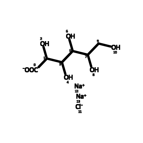 O=C([O-])C(O)C(O)C(O)C(O)CO.[Cl-].[Na+].[Na+]